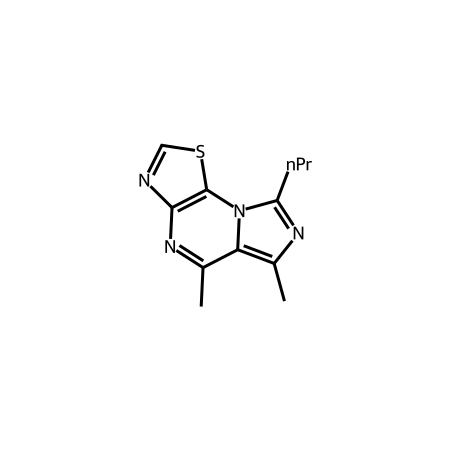 CCCc1nc(C)c2c(C)nc3ncsc3n12